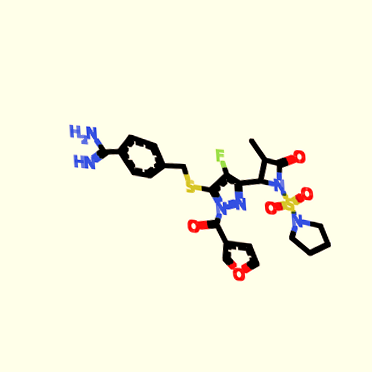 CC1C(=O)N(S(=O)(=O)N2CCCC2)C1c1nn(C(=O)c2ccoc2)c(SCc2ccc(C(=N)N)cc2)c1F